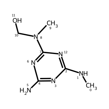 CNc1nc(N)nc(N(C)CO)n1